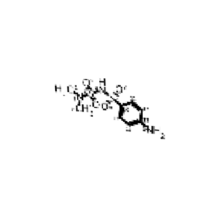 CN(C)S(=O)(=O)NS(=O)(=O)c1ccc(N)cc1